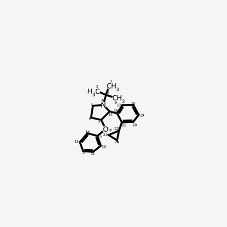 CC(C)(C)N1CCC(Oc2ccccc2)C1c1ccccc1C1CC1